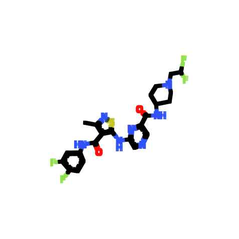 Cc1nsc(Nc2cncc(C(=O)NC3CCN(CC(F)F)CC3)n2)c1C(=O)Nc1ccc(F)c(F)c1